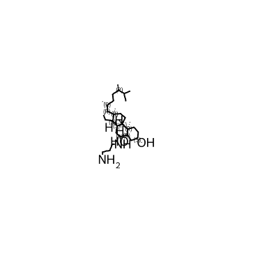 CC(C)[C@H](C)CC[C@@H](C)[C@H]1CC[C@H]2[C@@H]3C[C@@H](NCCCN)[C@@]4(O)C[C@@H](O)CC[C@]4(C)[C@H]3CC[C@]12C